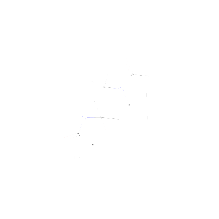 CC(=O)N1C(C)(C)CC2(CC1(C)C)OC(C)(C)C(=O)N2C